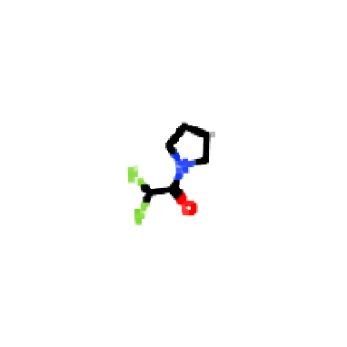 O=C(C(F)F)N1C[CH]CC1